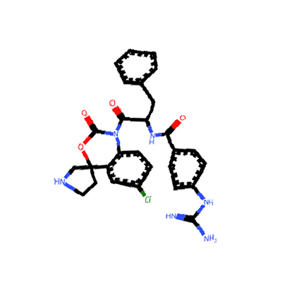 N=C(N)Nc1ccc(C(=O)NC(Cc2ccccc2)C(=O)N2C(=O)OC3(CCNC3)c3cc(Cl)ccc32)cc1